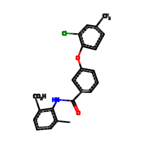 Cc1cccc(C(=O)O)c1NC(=O)c1cccc(Oc2ccc(C(F)(F)F)cc2Cl)c1